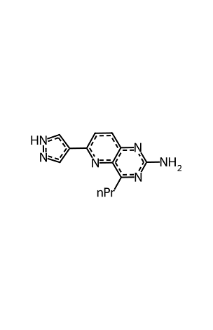 CCCc1nc(N)nc2ccc(-c3cn[nH]c3)nc12